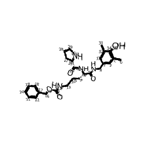 Cc1cc(CNC(=O)[C@H](CCCNC(=O)OCc2ccccc2)NC(=O)[C@@H]2CCCN2)cc(C)c1O